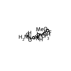 COc1ccc(F)cc1C(C)(C)CC(O)(CNc1cc(C)cc2c1cnn2-c1ccc(C(=O)NCC(N)=O)cc1)C(F)(F)F